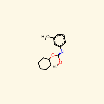 CCOC(=Nc1cccc(C)c1)OC1CCCCC1